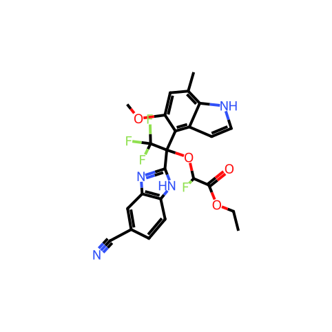 CCOC(=O)C(F)OC(c1nc2cc(C#N)ccc2[nH]1)(c1c(OC)cc(C)c2[nH]ccc12)C(F)(F)F